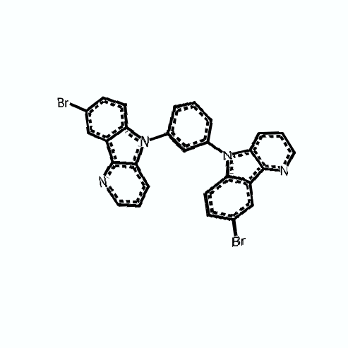 Brc1ccc2c(c1)c1ncccc1n2-c1cccc(-n2c3ccc(Br)cc3c3ncccc32)c1